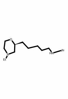 CCN1CCO[C@@H](CCCCCNC(C)C)C1